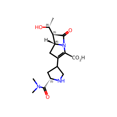 C[C@@H](O)[C@H]1C(=O)N2C(C(=O)O)=C(C3CN[C@H](C(=O)N(C)C)C3)C[C@H]12